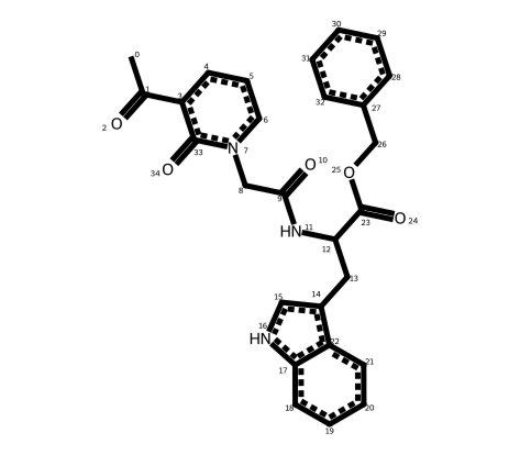 CC(=O)c1cccn(CC(=O)NC(Cc2c[nH]c3ccccc23)C(=O)OCc2ccccc2)c1=O